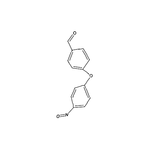 O=Cc1ccc(Oc2ccc(N=O)cc2)cc1